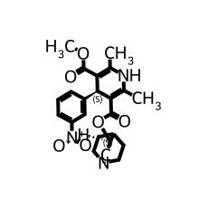 COC(=O)C1=C(C)NC(C)=C(C(=O)O[C@@H]2CN3CCC2CC3)[C@H]1c1cccc([N+](=O)[O-])c1